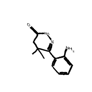 CC1(C)CC(=O)NN=C1c1ccccc1N